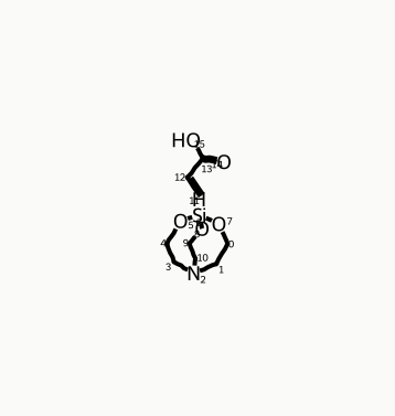 C1CN2CCO[SiH](O1)OCC2.C=CC(=O)O